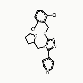 Clc1cccc(Cl)c1CSc1nnc(-c2ccncc2)n1CC1CCCO1